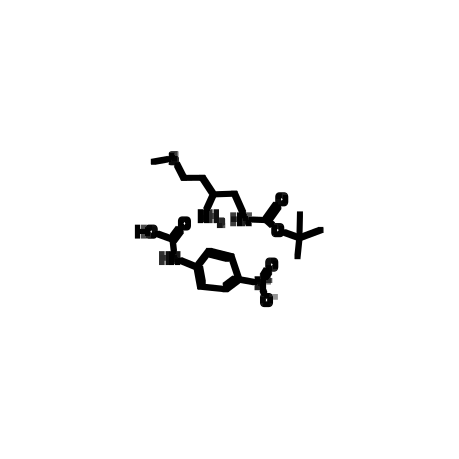 CSCCC(N)CNC(=O)OC(C)(C)C.O=C(O)Nc1ccc([N+](=O)[O-])cc1